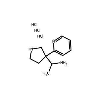 CC(N)C1(c2ccccn2)CCNC1.Cl.Cl.Cl